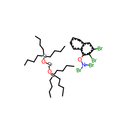 Brc1cc2ccccc2c(ON(Br)Br)c1Br.CCCC[Si](CCCC)(CCCC)O[Si]O[Si](CCCC)(CCCC)CCCC